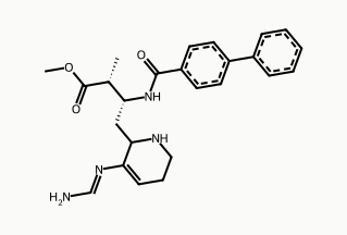 COC(=O)[C@H](C)[C@@H](CC1NCCC=C1N=CN)NC(=O)c1ccc(-c2ccccc2)cc1